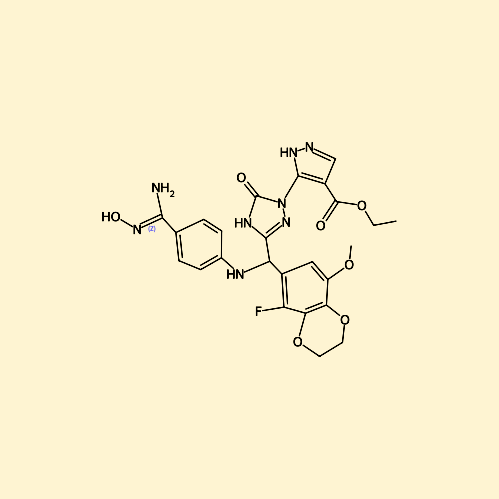 CCOC(=O)c1cn[nH]c1-n1nc(C(Nc2ccc(/C(N)=N/O)cc2)c2cc(OC)c3c(c2F)OCCO3)[nH]c1=O